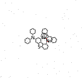 c1ccc(N(c2ccccc2)c2cc(-n3c4ccccc4c4ccccc43)c3c(c2)sc2cccc(N(c4ccccc4)c4ccccc4)c23)cc1